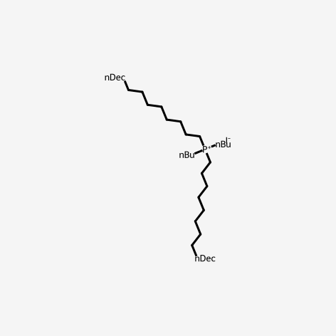 CCCCCCCCCCCCCCCCCC[P+](CCCC)(CCCC)CCCCCCCCCCCCCCCCCC.[I-]